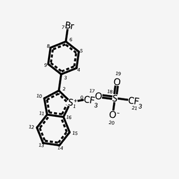 FC(F)(F)[s+]1c(-c2ccc(Br)cc2)cc2ccccc21.O=S(=O)([O-])C(F)(F)F